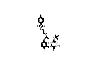 Cc1ccc(S(=O)(=O)OCCOC(C)Oc2ccc(I)c(C[C@H](NC(=O)OC(C)(C)C)C(=O)O)c2)cc1